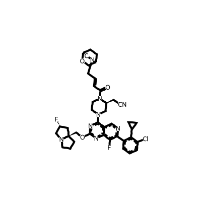 N#CC[C@H]1CN(c2nc(OC[C@@]34CCCN3C[C@H](F)C4)nc3c(F)c(-c4cccc(Cl)c4C4CC4)ncc23)CCN1C(=O)/C=C/CN1CC2CCC1CO2